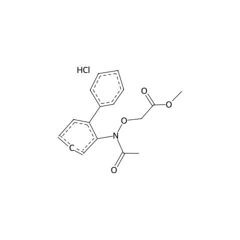 COC(=O)CON(C(C)=O)c1ccccc1-c1ccccc1.Cl